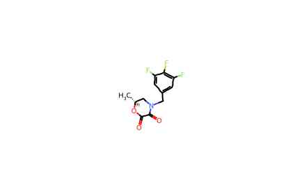 C[C@@H]1CN(Cc2cc(F)c(F)c(F)c2)C(=O)C(=O)O1